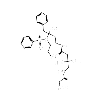 CNCC(=O)NCC(C)(C)CC(=O)NCCC(O)(Cc1ccccc1)N(CCC(C)C)S(=O)(=O)c1ccccc1